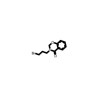 O=C1c2ccccc2OCN1CCCBr